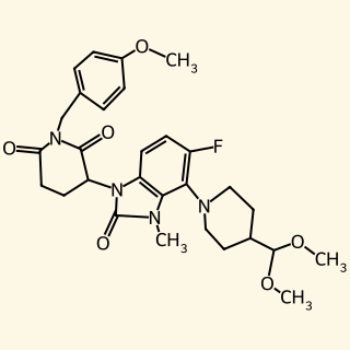 COc1ccc(CN2C(=O)CCC(n3c(=O)n(C)c4c(N5CCC(C(OC)OC)CC5)c(F)ccc43)C2=O)cc1